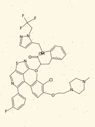 Cc1c(-c2c(-c3cccc(F)c3)ncc3snc(OC(Cc4ccccc4OCc4ccnn4CC(F)(F)F)C(=O)O)c23)ccc(OCCN2CCN(C)CC2)c1Cl